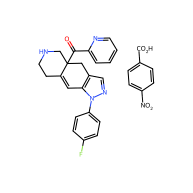 O=C(O)c1ccc([N+](=O)[O-])cc1.O=C(c1ccccn1)C12CNCCC1=Cc1c(cnn1-c1ccc(F)cc1)C2